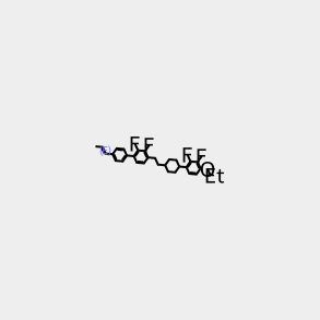 C/C=C/c1ccc(-c2ccc(CCC3CCC(c4ccc(OCC)c(F)c4F)CC3)c(F)c2F)cc1